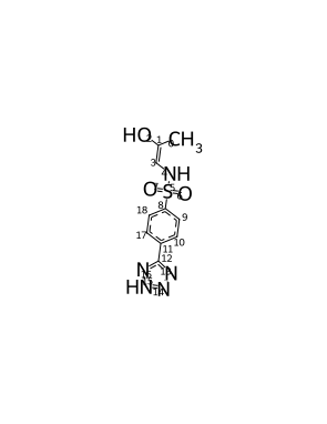 C/C(O)=C\NS(=O)(=O)c1ccc(-c2nn[nH]n2)cc1